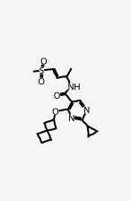 CC(C=CS(C)(=O)=O)NC(=O)c1cnc(C2CC2)nc1OC1CC2(CCC2)C1